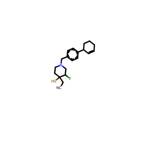 N#CCC1(S)CCN(Cc2ccc(C3C=CCCC3)cc2)CC1F